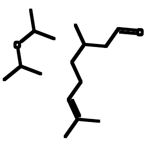 CC(C)=CCCC(C)CC=O.CC(C)OC(C)C